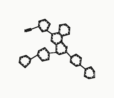 N#Cc1cccc(-c2cc3c(-c4ccc(-c5ccccc5)cc4)cc(-c4ccc(-c5ccccc5)cc4)nc3c3ccccc23)c1